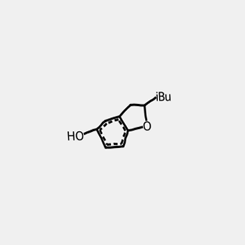 CCC(C)C1Cc2cc(O)ccc2O1